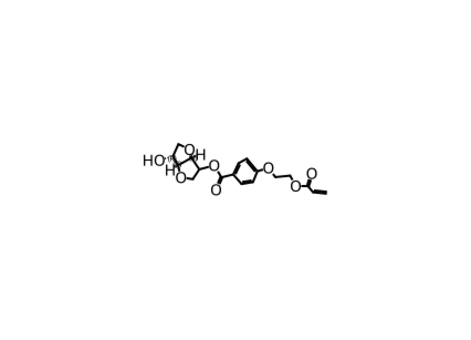 C=CC(=O)OCCOc1ccc(C(=O)OC2CO[C@@H]3[C@H](O)CO[C@H]23)cc1